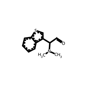 CN(C)C([C]=O)c1csc2ccccc12